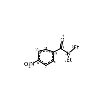 CCN(CC)C(=O)c1ccc([N+](=O)[O-])cc1